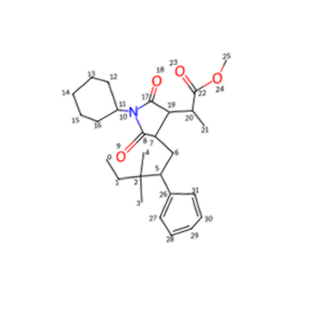 CCC(C)(C)C(CC1C(=O)N(C2CCCCC2)C(=O)C1C(C)C(=O)OC)c1ccccc1